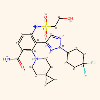 NC(=O)c1ccc(NS(=O)(=O)CCO)c(-c2cnn(C3CCC(F)(F)CC3)n2)c1N1CCC2(CC1)CC2